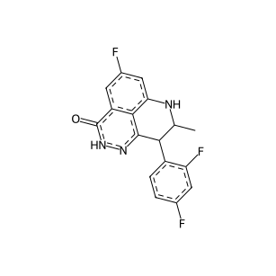 CC1Nc2cc(F)cc3c(=O)[nH]nc(c23)C1c1ccc(F)cc1F